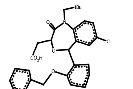 CC(C)(C)CN1C(=O)C(CC(=O)O)OC(c2ccccc2OCc2ccccc2)c2cc(Cl)ccc21